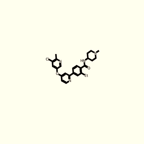 CCc1cc(-c2cc(Oc3cnc(C)c(Cl)c3)ccn2)ccc1C(=O)NC1CCN(C)CC1